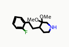 COC1(OC)CNCCC1CCc1ccccc1F